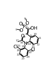 COP(=O)(OC)/C(O)=C/c1ccccc1N(C(C)=O)c1c(Cl)cccc1Cl